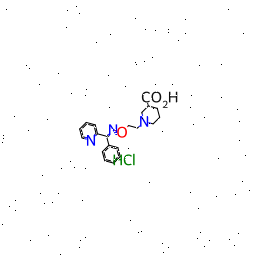 Cl.O=C(O)C1CCCN(CCO/N=C(\c2ccccc2)c2ccccn2)C1